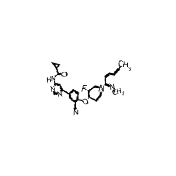 C\C=C/C=C\C(=N\C)N1CC[C@H](Oc2ccc(-c3cc(NC(=O)C4CC4)ncn3)cc2C#N)[C@H](F)C1